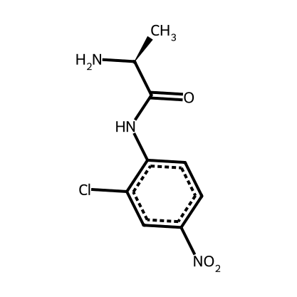 C[C@H](N)C(=O)Nc1ccc([N+](=O)[O-])cc1Cl